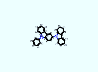 C1=c2c(n(-c3ccc4c(c3)c3ccccc3n4-c3ccccc3)c3ccccc23)=CCC1